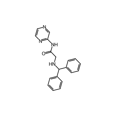 O=C(CNC(c1ccccc1)c1ccccc1)Nc1cnccn1